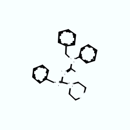 CC(=NC(=Nc1ccccc1)N1CCOCC1)N(Cc1ccccc1)c1ccccc1